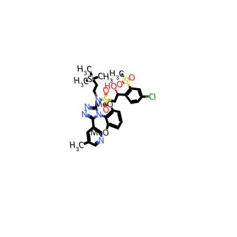 COc1cccc(OC)c1-n1c(-c2cncc(C)c2)nnc1N(CC[Si](C)(C)C)S(=O)(=O)C[C@@H](O)c1ccc(Cl)cc1S(C)(=O)=O